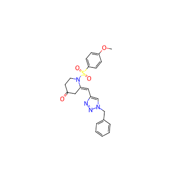 COc1ccc(S(=O)(=O)N2CCC(=O)CC2=Cc2cn(Cc3ccccc3)nn2)cc1